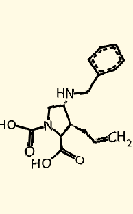 C=CC[C@@H]1[C@@H](NCc2ccccc2)CN(C(=O)O)[C@@H]1C(=O)O